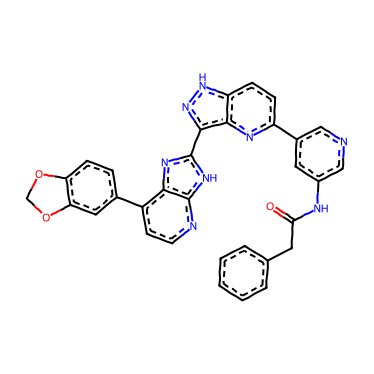 O=C(Cc1ccccc1)Nc1cncc(-c2ccc3[nH]nc(-c4nc5c(-c6ccc7c(c6)OCO7)ccnc5[nH]4)c3n2)c1